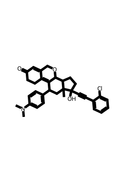 CN(C)c1ccc(C2CC3(C)C(CCC3(O)C#Cc3ccccc3Cl)C3OCC4=CC(=O)CCC4=C23)cc1